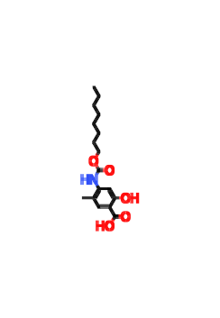 CCCCCCCCOC(=O)Nc1cc(O)c(C(=O)O)cc1C